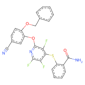 N#Cc1ccc(OCc2ccccc2)c(Oc2nc(F)c(F)c(Sc3ccccc3C(N)=O)c2F)c1